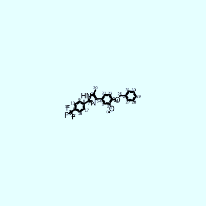 COc1cc(-c2nc(-c3ccc(C(F)(F)F)cc3)[nH]c2C)ccc1OCc1ccccc1